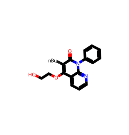 CCCCc1c(OCCO)c2cccnc2n(-c2ccccc2)c1=O